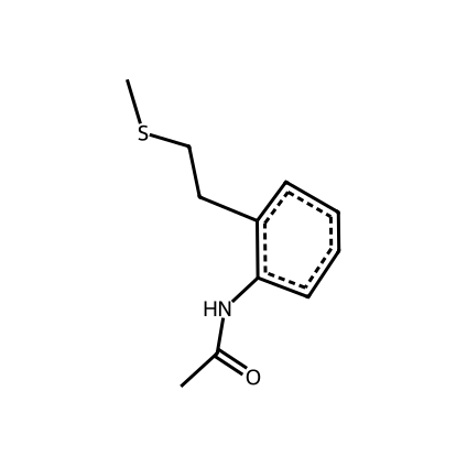 CSCCc1ccccc1NC(C)=O